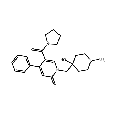 CN1CCC(O)(Cn2cc(C(=O)N3CCCC3)c(-c3ccccc3)cc2=O)CC1